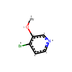 CC(C)Oc1cnccc1Br